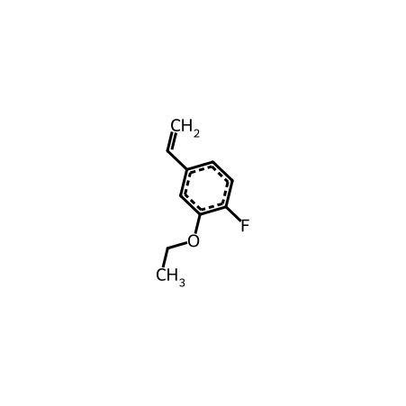 C=Cc1ccc(F)c(OCC)c1